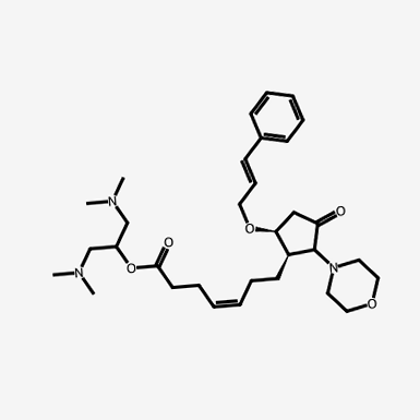 CN(C)CC(CN(C)C)OC(=O)CC/C=C\CC[C@@H]1C(N2CCOCC2)C(=O)C[C@@H]1OC/C=C/c1ccccc1